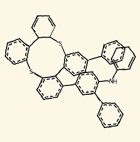 C1=CC2Sc3cc(-c4ccccc4)ccc3-c3c(cccc3-c3ccc(NC4=CCCC=C4)c(-c4ccccc4)c3)Sc3ccccc3C2C=C1